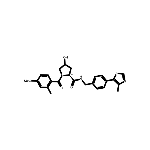 COc1ccc(C(=O)N2CC(O)C[C@H]2C(=O)NCc2ccc(-c3scnc3C)cc2)c(C)c1